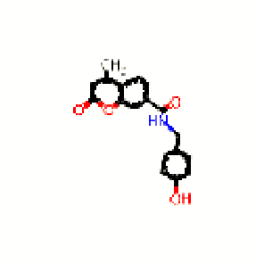 Cc1cc(=O)oc2cc(C(=O)NCc3ccc(O)cc3)ccc12